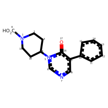 O=C(O)N1CCC(n2cncc(-c3ccccc3)c2=O)CC1